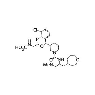 CNCC(CC1CCCOCC1)NC(=O)N1CCCC(C(OCCNC(=O)O)c2cccc(Cl)c2F)C1